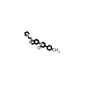 CC1CCC(c2ccn(-c3ccc4c(cnn4CCN4CCCC4)c3)c(=O)c2)CC1